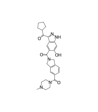 CN1CCN(C(=O)c2ccc3c(c2)CN(C(=O)c2cc4c(C(=O)C5CCCC5)n[nH]c4cc2O)C3)CC1